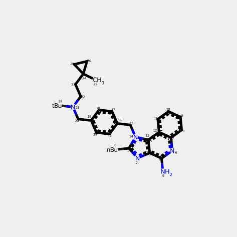 CCCCc1nc2c(N)nc3ccccc3c2n1Cc1ccc(CN(CCC2(C)CC2)C(C)(C)C)cc1